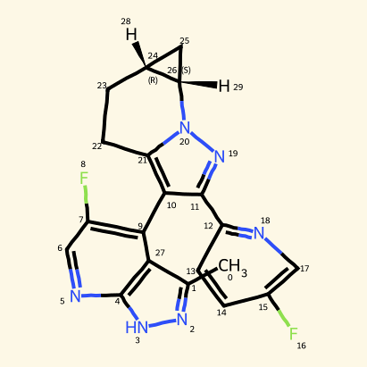 Cc1n[nH]c2ncc(F)c(-c3c(-c4ccc(F)cn4)nn4c3CC[C@@H]3C[C@@H]34)c12